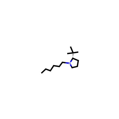 CCCCCCN1CCC[C@H]1C(C)(C)C